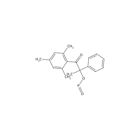 Cc1cc(C)c(C(=O)C(C)(OP=O)c2ccccc2)c(C)c1